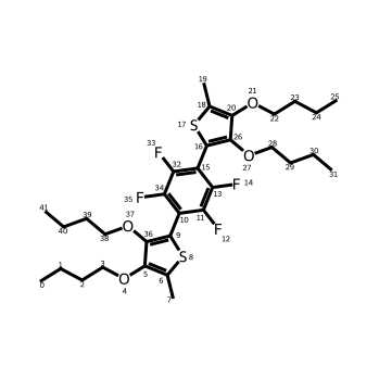 CCCCOc1c(C)sc(-c2c(F)c(F)c(-c3sc(C)c(OCCCC)c3OCCCC)c(F)c2F)c1OCCCC